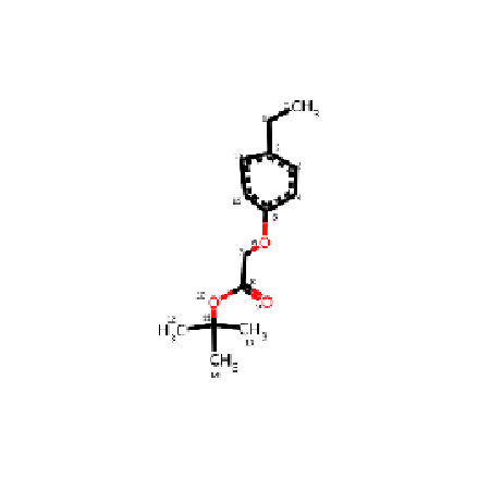 CCc1ccc(OCC(=O)OC(C)(C)C)cc1